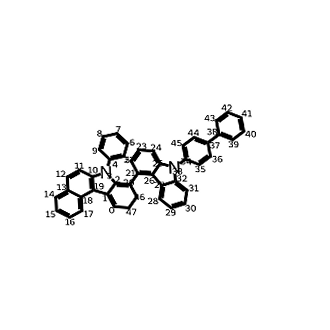 C1=c2c(n(-c3ccccc3)c3ccc4ccccc4c23)=C(c2cccc3c2c2ccccc2n3-c2ccc(-c3ccccc3)cc2)CC1